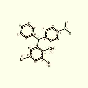 CN(C)c1ccc(C(c2ccccc2)c2cc(Br)cc(Br)c2O)cc1